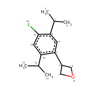 CC(C)c1cc(C2COC2)c(C(C)C)cc1F